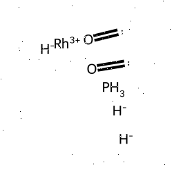 P.[C]=O.[C]=O.[H-].[H-].[H-].[Rh+3]